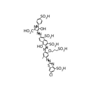 Cc1cc(N=Nc2c(S(=O)(=O)O)cc3c(S(=O)(=O)O)c(N=Nc4c(C(=O)O)nn(-c5ccc(S(=O)(=O)O)cc5)c4O)ccc3c2O)c(OCCCS(=O)(=O)O)cc1N=Nc1nc2c(S(=O)(=O)O)cc(Cl)cc2s1